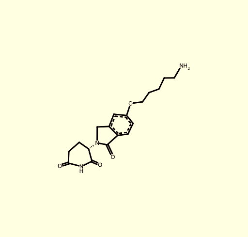 NCCCCCOc1ccc2c(c1)CN([C@H]1CCC(=O)NC1=O)C2=O